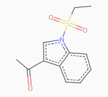 CCS(=O)(=O)n1cc(C(C)=O)c2ccccc21